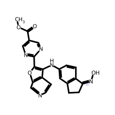 COC(=O)c1cnc(-c2oc3cnccc3c2Nc2ccc3c(c2)CC/C3=N/O)nc1